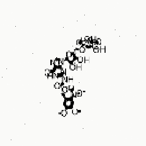 COc1cc(COC(=O)Nc2nc3c(ncn3[C@@H]3O[C@H](COP(=O)(O)CP(=O)(O)O)[C@@H](O)[C@H]3O)c(=O)[nH]2)c([N+](=O)[O-])cc1OC